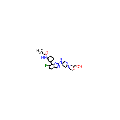 C=CC(=O)Nc1cccc(-c2c(F)ccc3cnc(Nc4ccc(N5CCO[C@H](CO)C5)nc4)nc23)c1